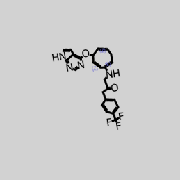 O=C(CNC1=C/C/C=C\C(Oc2ncnc3[nH]ccc23)/C=C\1)Cc1ccc(C(F)(F)F)cc1